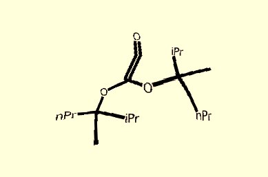 CCCC(C)(OC(=O)OC(C)(CCC)C(C)C)C(C)C